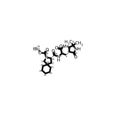 COC(=O)C(C[C@@H]1CC(C)(C)NC1=O)NC(=O)[C@@H]1CC2(CCCCC2)CN1C(=O)OC(C)(C)C